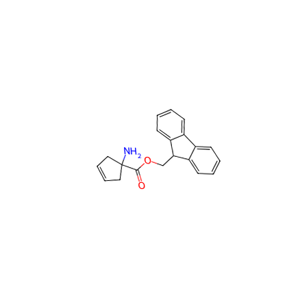 NC1(C(=O)OCC2c3ccccc3-c3ccccc32)CC=CC1